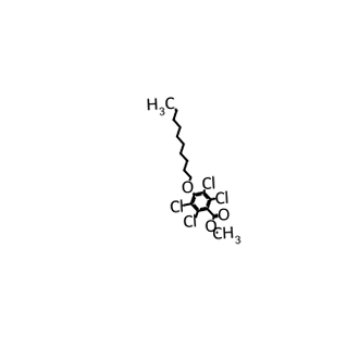 CCCCCCCCCCOc1c(Cl)c(Cl)c(C(=O)OC)c(Cl)c1Cl